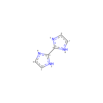 [c]1c[nH]c(-c2ncc[nH]2)n1